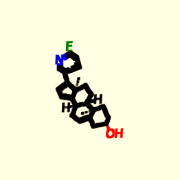 C[C@]12CC[C@H]3[C@@H](CC=C4C[C@@H](O)CC[C@@]43C)C1=CC=C2c1ccc(F)nc1